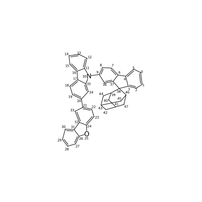 c1ccc2c(c1)-c1ccc(-n3c4ccccc4c4ccc(-c5ccc6oc7ccccc7c6c5)cc43)cc1C21C2CC3CC(C2)CC1C3